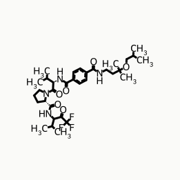 CC(C)COC(C)(C)CCNC(=O)c1ccc(C(=O)N[C@H](C(=O)N2CCC[C@H]2C(=O)NC(C(=O)C(F)(F)F)C(C)C)C(C)C)cc1